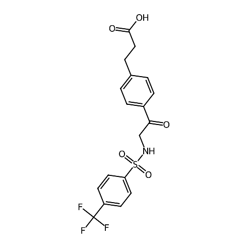 O=C(O)CCc1ccc(C(=O)CNS(=O)(=O)c2ccc(C(F)(F)F)cc2)cc1